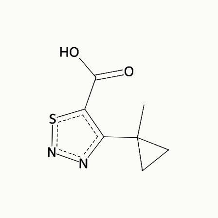 CC1(c2nnsc2C(=O)O)CC1